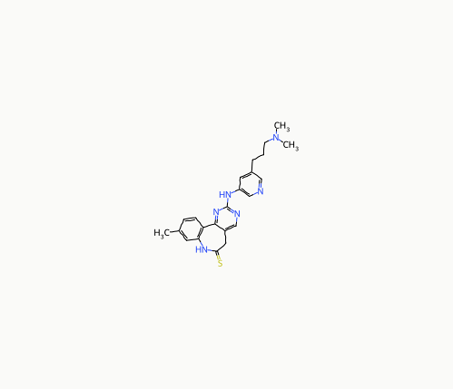 Cc1ccc2c(c1)NC(=S)Cc1cnc(Nc3cncc(CCCN(C)C)c3)nc1-2